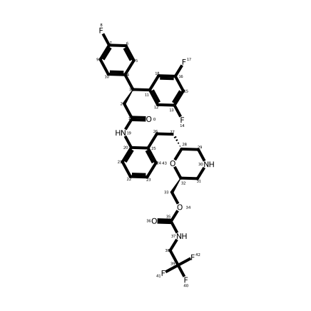 O=C(C[C@@H](c1ccc(F)cc1)c1cc(F)cc(F)c1)Nc1ccccc1CC[C@@H]1CNC[C@@H](COC(=O)NCC(F)(F)F)O1